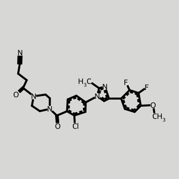 COc1ccc(-c2cn(-c3ccc(C(=O)N4CCN(C(=O)CCC#N)CC4)c(Cl)c3)c(C)n2)c(F)c1F